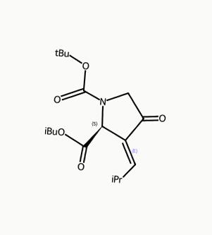 CC(C)/C=C1/C(=O)CN(C(=O)OC(C)(C)C)[C@@H]1C(=O)OCC(C)C